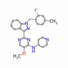 COc1cnc(-c2nn(Cc3ccc(C)cc3F)c3ccccc23)nc1Nc1ccncc1